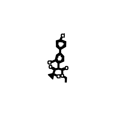 CCOC(=O)C(C(=O)C1(Cl)CC1)c1ccc(-c2ccc(Cl)cc2)cc1Cl